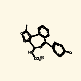 CCOC(=O)NC1N=C(c2ccc(Cl)cc2)c2ccccc2-c2c1noc2C